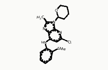 CSc1ccccc1Nc1cc(Cl)nc2c1nc(C)n2C1CCCCO1